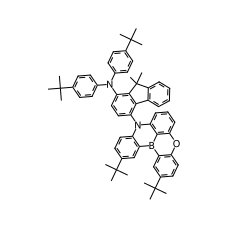 CC(C)(C)c1ccc(N(c2ccc(C(C)(C)C)cc2)c2ccc(N3c4ccc(C(C)(C)C)cc4B4c5cc(C(C)(C)C)ccc5Oc5cccc3c54)c3c2C(C)(C)c2ccccc2-3)cc1